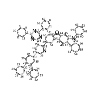 c1ccc(-c2nc(-c3ccccc3)nc(-c3cc(-c4ccc(-c5ccccc5)c(-c5ccccc5)c4)cnc3-c3ccc4oc5cc6c(cc5c4c3)c3ccccc3n6-c3ccccc3)n2)cc1